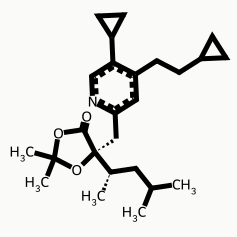 CC(C)C[C@H](C)[C@@]1(Cc2cc(CCC3CC3)c(C3CC3)cn2)OC(C)(C)OC1=O